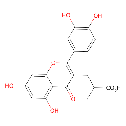 CC(Cc1c(-c2ccc(O)c(O)c2)oc2cc(O)cc(O)c2c1=O)C(=O)O